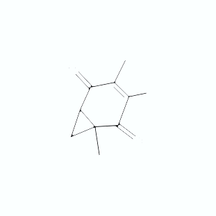 CC1=C(C)C(=O)C2(C)CC2C1=O